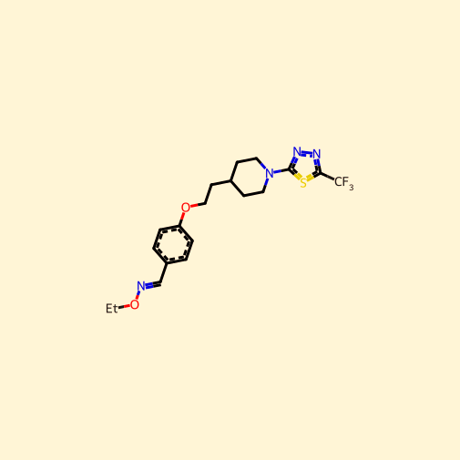 CCON=Cc1ccc(OCCC2CCN(c3nnc(C(F)(F)F)s3)CC2)cc1